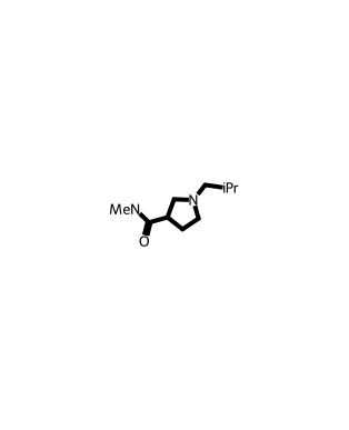 CNC(=O)C1CCN(CC(C)C)C1